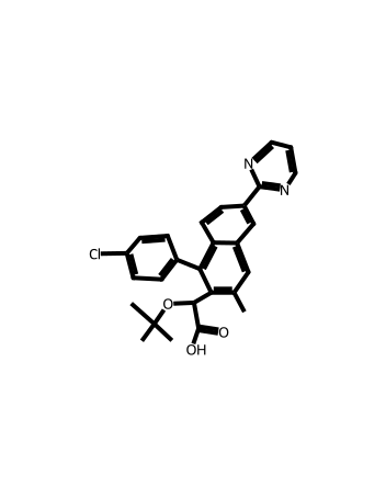 Cc1cc2cc(-c3ncccn3)ccc2c(-c2ccc(Cl)cc2)c1C(OC(C)(C)C)C(=O)O